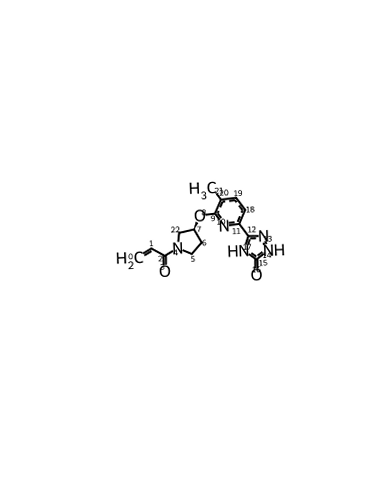 C=CC(=O)N1CC[C@H](Oc2nc(-c3n[nH]c(=O)[nH]3)ccc2C)C1